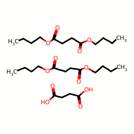 CCCCOC(=O)CCC(=O)OCCCC.CCCCOC(=O)CCC(=O)OCCCC.O=C(O)CCC(=O)O